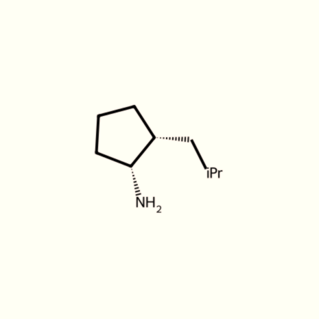 CC(C)C[C@H]1CCC[C@H]1N